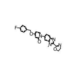 Cn1c(C2=NCCO2)nc2ccc(-n3ccc(OCc4ccc(F)cc4)cc3=O)cc21